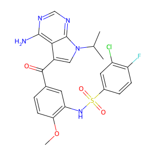 COc1ccc(C(=O)c2cn(C(C)C)c3ncnc(N)c23)cc1NS(=O)(=O)c1ccc(F)c(Cl)c1